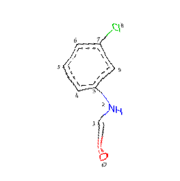 O=[C]Nc1cccc(Cl)c1